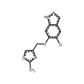 Cc1nc(COc2cc3[nH]ncc3cc2Cl)co1